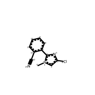 Cn1cc(Cl)nc1-c1ccccc1C#N